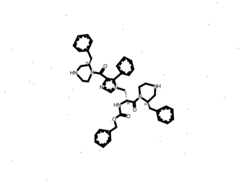 O=C(N[C@H](Cn1cnc(C(=O)N2CCNC[C@H]2Cc2ccccc2)c1-c1ccccc1)C(=O)N1CCNC[C@H]1Cc1ccccc1)OCc1ccccc1